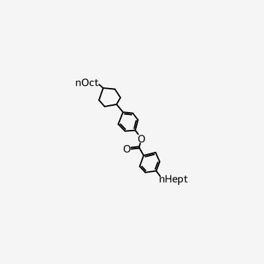 CCCCCCCCC1CCC(c2ccc(OC(=O)c3ccc(CCCCCCC)cc3)cc2)CC1